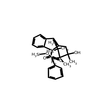 CC(C)(C)[C@@](C)([SiH2]O[SiH3])C(C)(O)Cc1cc2ccccc2n1S(=O)(=O)c1ccccc1